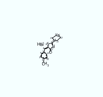 Br.Cc1ccc(C=C2SC(N3CCSCC3)=NC2=O)cc1